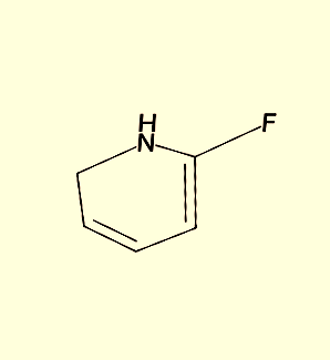 FC1=CC=CCN1